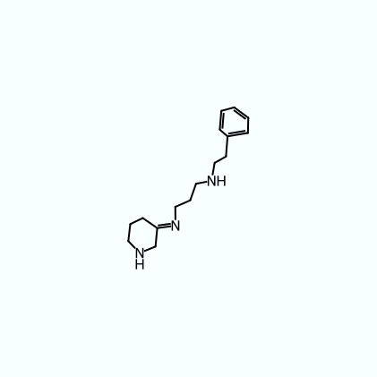 c1ccc(CCNCCCN=C2CCCNC2)cc1